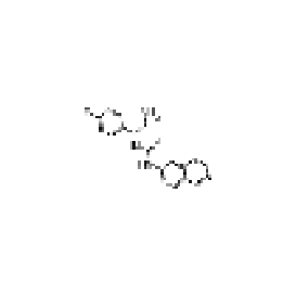 NCC(NC(=S)Nc1ccc2cnccc2c1)c1ccc(F)cc1